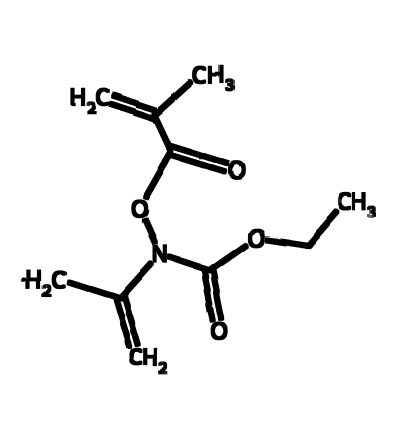 [CH2]C(=C)N(OC(=O)C(=C)C)C(=O)OCC